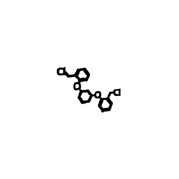 ClCc1ccccc1OC1CCCC(Oc2ccccc2CCl)C1